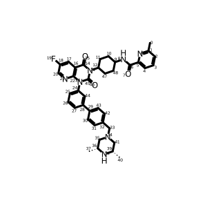 Cc1cccc(C(=O)NC2CCC(n3c(=O)c4cc(F)cnc4n(-c4cccc(-c5ccc(CN6C[C@@H](C)N[C@@H](C)C6)cc5)c4)c3=O)CC2)n1